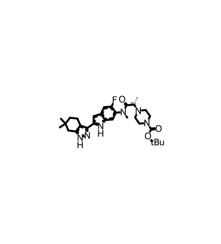 C[C@@H](C(=O)N(C)c1cc2[nH]c(-c3n[nH]c4c3CCC(C)(C)C4)cc2cc1F)N1CCN(C(=O)OC(C)(C)C)CC1